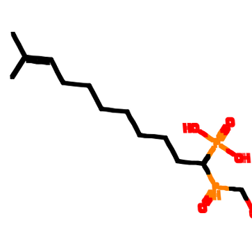 CC(C)=CCCCCCCCC([PH](=O)CO)P(=O)(O)O